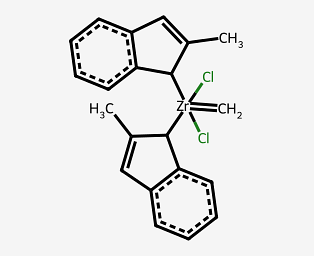 [CH2]=[Zr]([Cl])([Cl])([CH]1C(C)=Cc2ccccc21)[CH]1C(C)=Cc2ccccc21